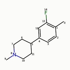 Cc1ccc(C2CCN(C)CC2)cc1F